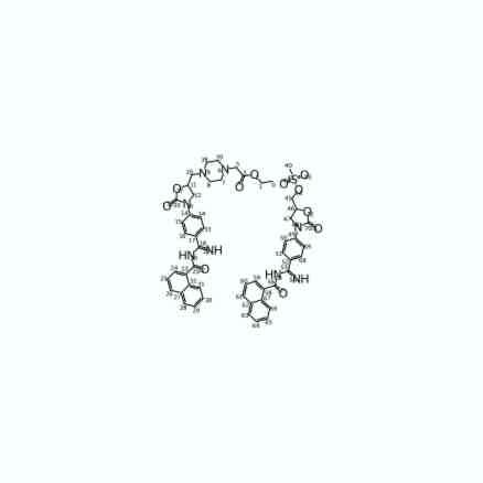 CCOC(=O)CN1CCN(CC2CN(c3ccc(C(=N)NC(=O)c4cccc5ccccc45)cc3)C(=O)O2)CC1.CS(=O)(=O)OCC1CN(c2ccc(C(=N)NC(=O)c3cccc4ccccc34)cc2)C(=O)O1